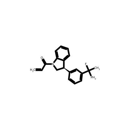 C=CC(=O)N1C[C@H](c2cccc(C(C)(F)P)c2)c2ccccc21